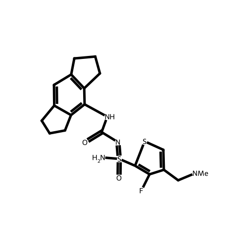 CNCc1csc(S(N)(=O)=NC(=O)Nc2c3c(cc4c2CCC4)CCC3)c1F